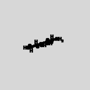 NCCCCNC(=O)CCC(=O)N(O)CCCCCN(O)CCCC(=O)NCCCCNC(=O)CO